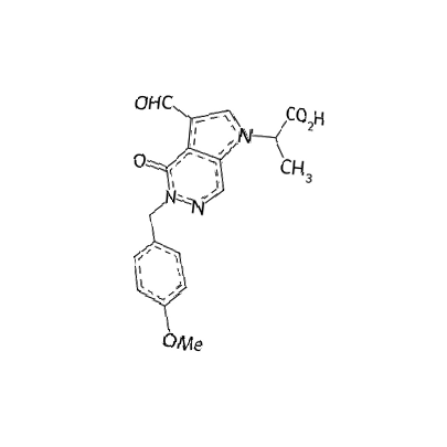 COc1ccc(Cn2ncc3c(c(C=O)cn3C(C)C(=O)O)c2=O)cc1